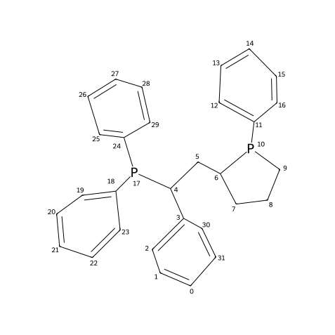 c1ccc(C(CC2CCCP2c2ccccc2)P(c2ccccc2)c2ccccc2)cc1